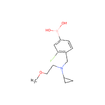 COCCN(Cc1ccc(B(O)O)cc1F)C1CC1